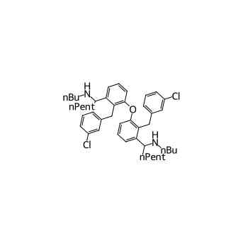 CCCCCC(NCCCC)c1cccc(Oc2cccc(C(CCCCC)NCCCC)c2Cc2cccc(Cl)c2)c1Cc1cccc(Cl)c1